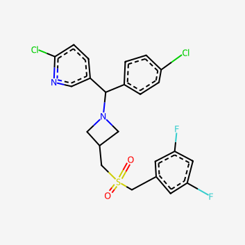 O=S(=O)(Cc1cc(F)cc(F)c1)CC1CN(C(c2ccc(Cl)cc2)c2ccc(Cl)nc2)C1